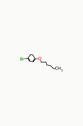 CCCCCCOC1=CC=C(Br)CC1